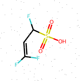 O=S(=O)(O)C(F)C=C(F)F